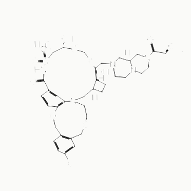 C=CC(=O)N1CCN2CCN(C[C@@]3(O)CCC[C@H](C)[C@@H](C)S(=O)(=O)NC(=O)c4ccc5c(c4)N(CCCCc4cc(Cl)ccc4CO5)C[C@@H]4CC[C@H]43)C[C@H]2C1